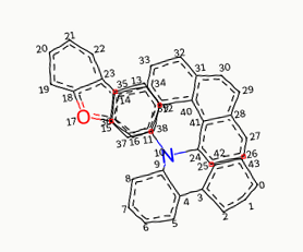 c1ccc(-c2ccccc2N(c2ccc3c(c2)oc2ccccc23)c2cccc3ccc4ccc5ccccc5c4c23)cc1